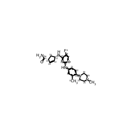 Cc1cc(Nc2ncc(F)c(N[C@@H]3C=C[C@H](C(N)=O)C3)n2)ccc1N1CCN(C)CC1